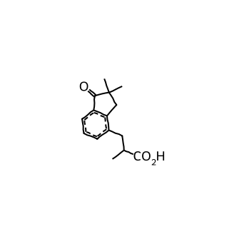 CC(Cc1cccc2c1CC(C)(C)C2=O)C(=O)O